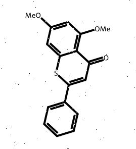 COc1cc(OC)c2c(=O)cc(-c3ccccc3)sc2c1